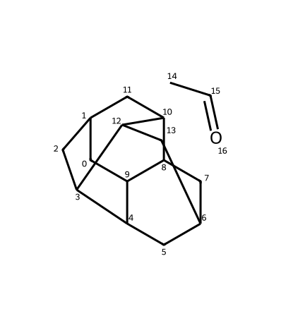 C1C2CC3C4CC5CC(C14)C(C2)C3C5.CC=O